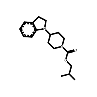 CC(C)COC(=O)N1CCC(N2CCc3ccccc32)CC1